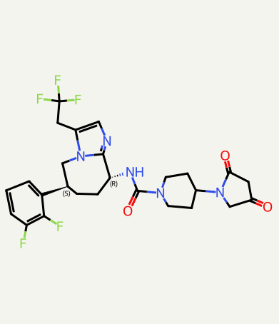 O=C1CC(=O)N(C2CCN(C(=O)N[C@@H]3CC[C@@H](c4cccc(F)c4F)Cn4c(CC(F)(F)F)cnc43)CC2)C1